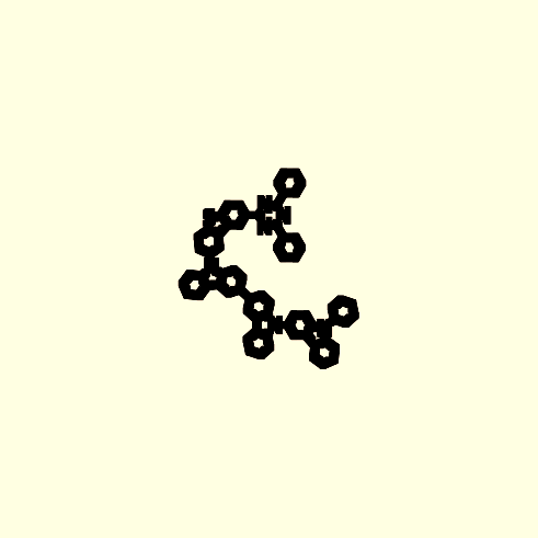 c1ccc(-c2nc(-c3ccccc3)nc(-c3ccc4sc5ccc(-n6c7ccccc7c7cc(-c8ccc9c(c8)c8ccccc8n9-c8ccc9c(c8)c8ccccc8n9-c8ccccc8)ccc76)cc5c4c3)n2)cc1